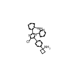 NC1(c2ccc(-c3c(Cl)nc4n3-c3cccnc3Nc3ccccc3-4)cc2)CCC1